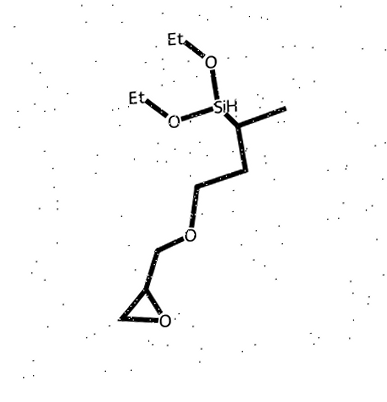 CCO[SiH](OCC)C(C)CCOCC1CO1